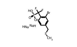 CSCc1ccc(C(F)(F)P(=O)(O)O)c(Br)c1.[NaH].[NaH]